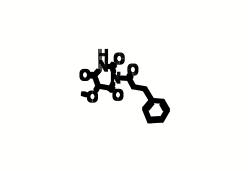 COC1C(=O)NC(=O)N(C(=O)CCc2ccccc2)C1=O